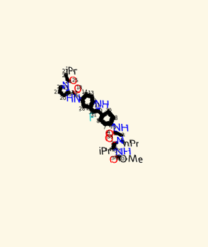 CCCN(CC(=O)Nc1ccc(-c2[nH]c3ccc(NC(=O)[C@@H]4CCCN4C(=O)CC(C)C)cc3c2F)cc1)C(=O)[C@@H](NC(=O)OC)C(C)C